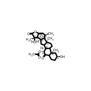 CC(=O)O[C@H]1C(=O)C2CC[C@H](O)C[C@]2(C)C2CC[C@@]3(C)C(C[C@@H]4C3[C@H](C)C=C3OC(=O)[C@@](C)(O)[C@@]34C)[C@@H]21